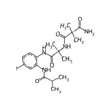 CC(C)C(=O)Nc1cc(I)ccc1NC(=O)C(C)(C)NC(=O)C(C)(C)C(N)=O